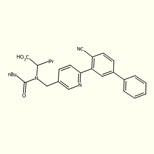 CCCCC(=O)N(Cc1ccc(-c2cc(-c3ccccc3)ccc2C#N)nc1)C(C(=O)O)C(C)C